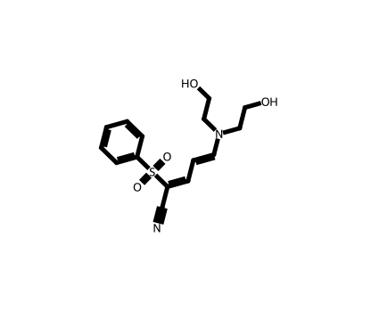 N#C/C(=C/C=C/N(CCO)CCO)S(=O)(=O)c1ccccc1